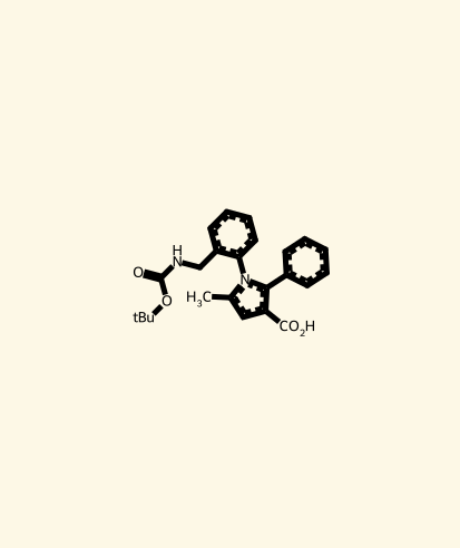 Cc1cc(C(=O)O)c(-c2ccccc2)n1-c1ccccc1CNC(=O)OC(C)(C)C